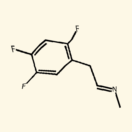 C/N=C/Cc1cc(F)c(F)cc1F